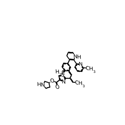 C=c1ccc(C2=C(c3cccc(C)n3)NC=CC2)c/c1=C/C(=C\C)c1nc(C(=O)O[C@@H]2CCNC2)cs1